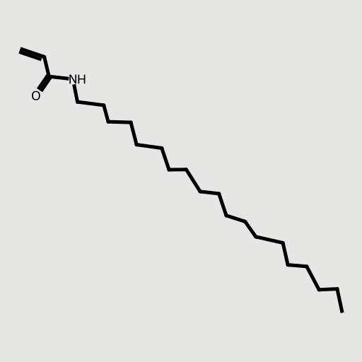 C=CC(=O)NCCCCCCCCCCCCCCCCCCC